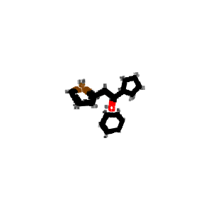 C1CCCCC1.O=C(Cc1cccs1)C1CCCC1